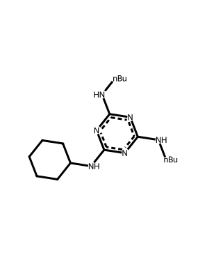 CCCCNc1nc(NCCCC)nc(NC2CCCCC2)n1